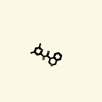 Cc1cc(C)nc(NC(=O)C2COCc3ccccc32)c1